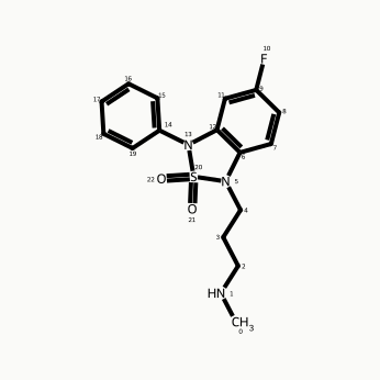 CNCCCN1c2ccc(F)cc2N(c2ccccc2)S1(=O)=O